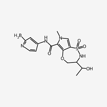 Bc1cc(NC(=O)c2c3c(cn2C)S(=O)(=O)NC(C(C)O)CO3)ccn1